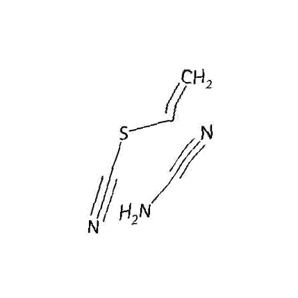 C=CSC#N.N#CN